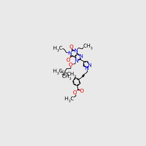 CCCn1c(=O)c2c(nc(-c3cnn(CC#Cc4cccc(C(=O)OCC)c4)c3)n2COCC[Si](C)(C)C)n(CCC)c1=O